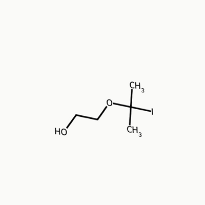 CC(C)(I)OCCO